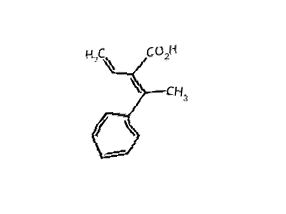 C=CC(C(=O)O)=C(C)c1ccccc1